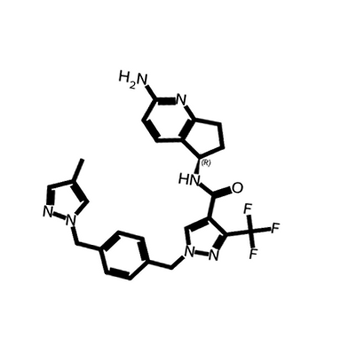 Cc1cnn(Cc2ccc(Cn3cc(C(=O)N[C@@H]4CCc5nc(N)ccc54)c(C(F)(F)F)n3)cc2)c1